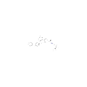 CC[C@H](NC/C=C/C(=O)N1CCc2c(sc3ncnc(Nc4ccc(Oc5ccc(C)nc5)c(C)c4)c23)C1)C(F)(F)F